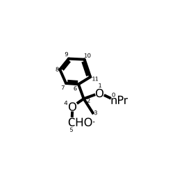 CCCOC(C)(O[C]=O)c1ccccc1